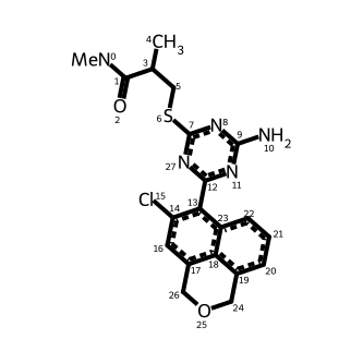 CNC(=O)C(C)CSc1nc(N)nc(-c2c(Cl)cc3c4c(cccc24)COC3)n1